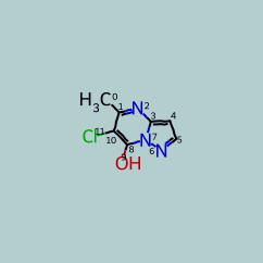 Cc1nc2ccnn2c(O)c1Cl